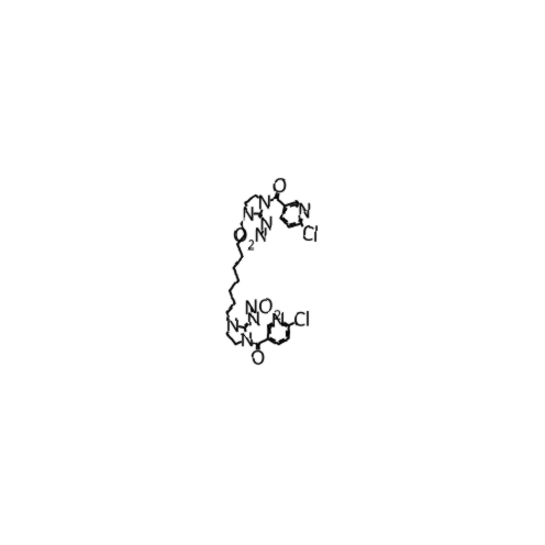 O=C(c1ccc(Cl)nc1)N1CCN(CCCCCCCCCN2CCN(C(=O)c3ccc(Cl)nc3)C2=N[N+](=O)[O-])C1=N[N+](=O)[O-]